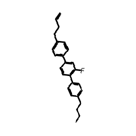 C=CCCc1ccc(-c2ccc(-c3ccc(CCCC)cc3)c(F)c2)cc1